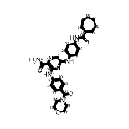 NC(=O)c1ncc(NC2CCC(NC(=O)C3CCCCCC3)CC2)nc1Nc1ccc(C(=O)N2CCOCC2)cc1